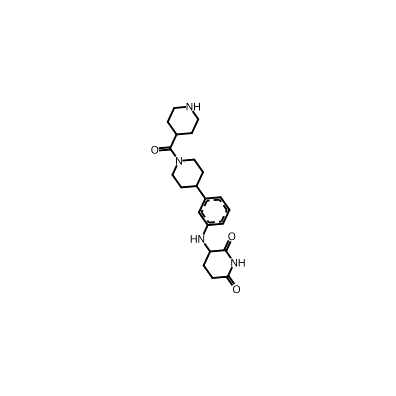 O=C1CCC(Nc2cccc(C3CCN(C(=O)C4CCNCC4)CC3)c2)C(=O)N1